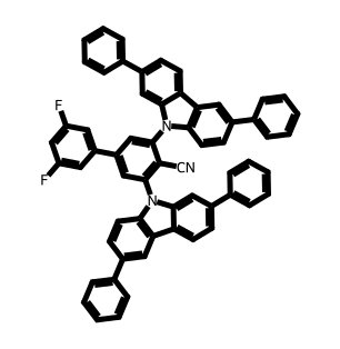 N#Cc1c(-n2c3ccc(-c4ccccc4)cc3c3ccc(-c4ccccc4)cc32)cc(-c2cc(F)cc(F)c2)cc1-n1c2ccc(-c3ccccc3)cc2c2ccc(-c3ccccc3)cc21